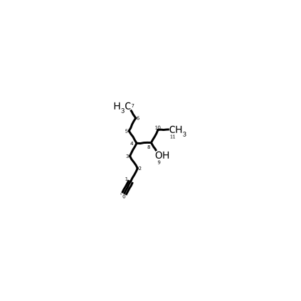 [C]#CCCC(CCC)C(O)CC